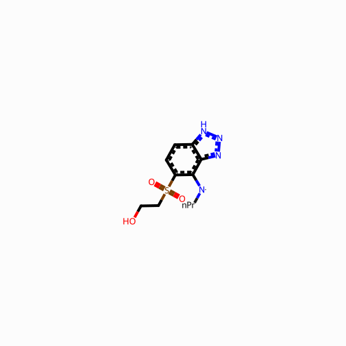 CCC[N]c1c(S(=O)(=O)CCO)ccc2[nH]nnc12